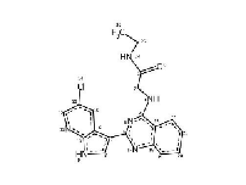 O=C(CNc1nc(-c2c[nH]c3ncc(Cl)cc23)nc2ccccc12)NCC(F)(F)F